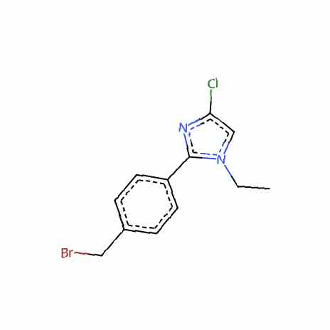 CCn1cc(Cl)nc1-c1ccc(CBr)cc1